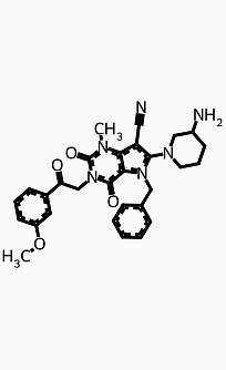 COc1cccc(C(=O)Cn2c(=O)c3c(c(C#N)c(N4CCCC(N)C4)n3Cc3ccccc3)n(C)c2=O)c1